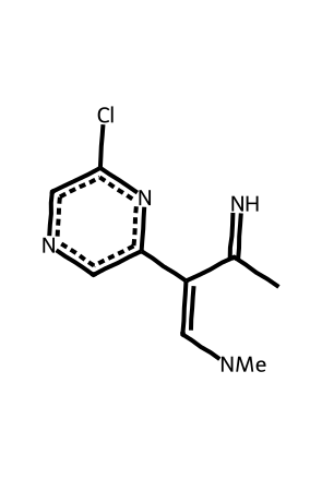 CN/C=C(\C(C)=N)c1cncc(Cl)n1